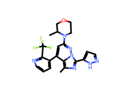 Cc1nc(-c2ccn[nH]2)n2nc(N3CCOCC3C)cc(-c3cccnc3C(F)(F)F)c12